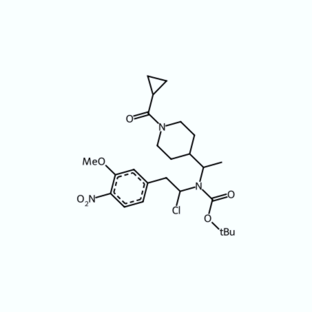 COc1cc(CC(Cl)N(C(=O)OC(C)(C)C)C(C)C2CCN(C(=O)C3CC3)CC2)ccc1[N+](=O)[O-]